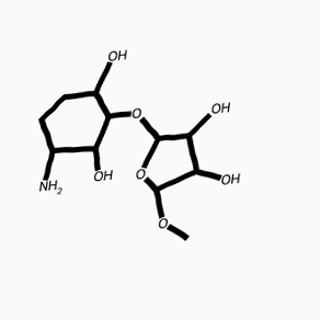 COC1OC(OC2C(O)CCC(N)C2O)C(O)C1O